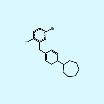 Clc1ccc(Br)cc1CC1=CCC(C2CCCCCC2)C=C1